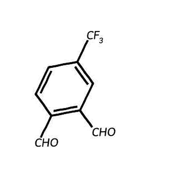 O=Cc1ccc(C(F)(F)F)cc1C=O